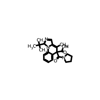 CC1=C2C=NC(C(C)(C)C)N2c2ccccc2C1(C(=O)O)C(=O)N1CCCC1